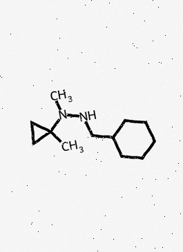 CN(NCC1CCCCC1)C1(C)CC1